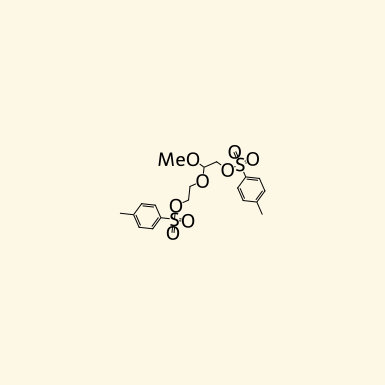 COC(COS(=O)(=O)c1ccc(C)cc1)OCCOS(=O)(=O)c1ccc(C)cc1